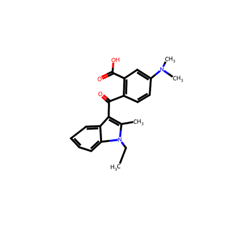 CCn1c(C)c(C(=O)c2ccc(N(C)C)cc2C(=O)O)c2ccccc21